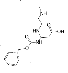 CNCCNC(CC(=O)O)NC(=O)OCc1ccccc1